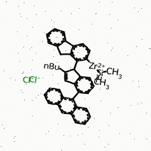 CCCCC1=Cc2c(-c3c4ccccc4cc4ccccc34)cccc2C1c1[c]([Zr+2][SiH](C)C)ccc2c1Cc1ccccc1-2.[Cl-].[Cl-]